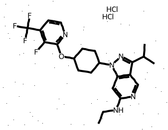 CCNc1cc2c(cn1)c(C(C)C)nn2C1CCC(Oc2nccc(C(F)(F)F)c2F)CC1.Cl.Cl